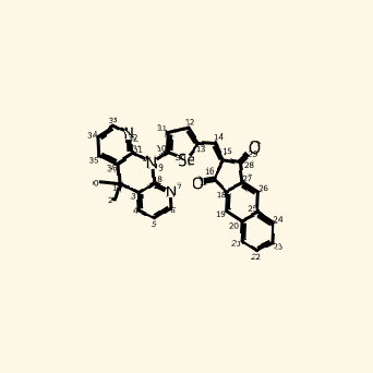 CC1(C)c2cccnc2N(c2ccc(C=C3C(=O)c4cc5ccccc5cc4C3=O)[se]2)c2ncccc21